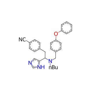 CCCCN(Cc1ccc(Oc2ccccc2)cc1)C(Cc1ccc(C#N)cc1)c1cnc[nH]1